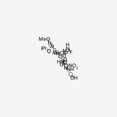 COCCN1CCN(C2CC3(CCN(c4ccc(C(=O)NS(=O)(=O)c5cnc(NCC6CCC(C)(O)CC6)c([N+](=O)[O-])c5)c(Oc5cc6c(F)c[nH]c6nc5OC)c4)CC3)C2)[C@H](c2ccccc2C(C)C)C1